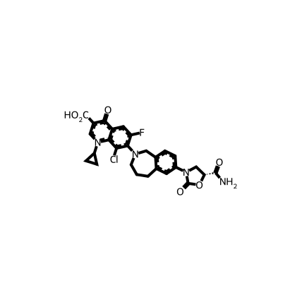 NC(=O)[C@H]1CN(c2ccc3c(c2)CCCN(c2c(F)cc4c(=O)c(C(=O)O)cn(C5CC5)c4c2Cl)C3)C(=O)O1